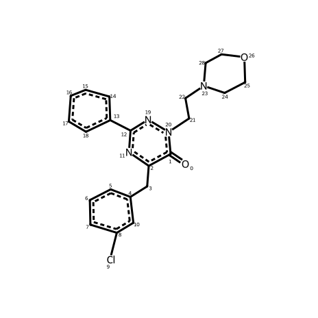 O=c1c(Cc2cccc(Cl)c2)nc(-c2ccccc2)nn1CCN1CCOCC1